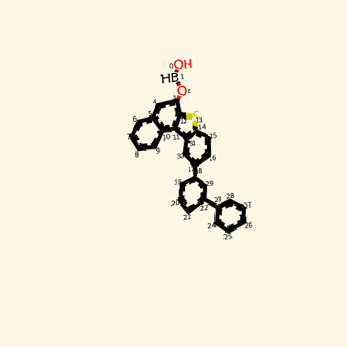 OBOc1cc2ccccc2c2c1sc1ccc(-c3cccc(-c4ccccc4)c3)cc12